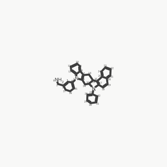 NCC1=CC(n2c3c(c4ccccc42)CC2c4c(ccc5ccccc45)N(c4ccccc4)C2C3)=CCC1